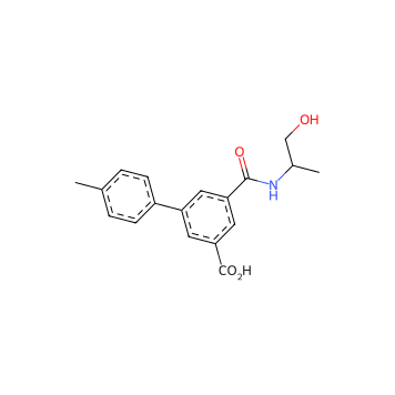 Cc1ccc(-c2cc(C(=O)O)cc(C(=O)NC(C)CO)c2)cc1